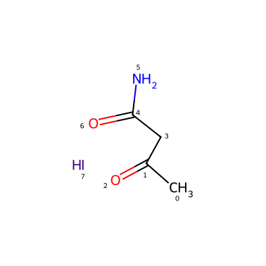 CC(=O)CC(N)=O.I